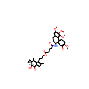 COc1cc2c(c(OC)c1OC)-c1ccc(OC)c(=O)cc1[C@@H](NC(=O)CCCC(=O)OCCCC1=C(C)C=C3C(=O)[C@@](C)(O)C4(CC4)C(C)=C31)CC2